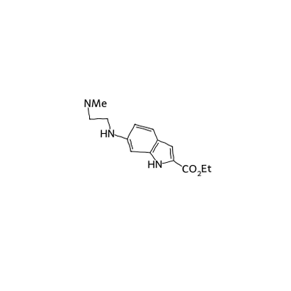 CCOC(=O)c1cc2ccc(NCCNC)cc2[nH]1